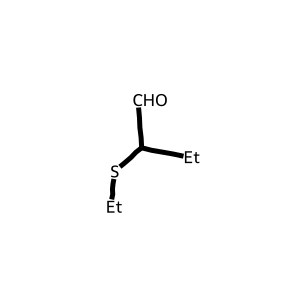 CCSC(C=O)CC